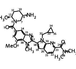 COc1cc(C(=O)N2C[C@H](N)CC[C@@H]2C)cc2nc(-c3cc4ccc(C(=O)N(C)C)nc4n3CC3CC3)n(C)c12